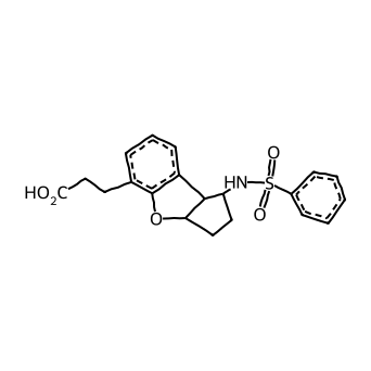 O=C(O)CCc1cccc2c1OC1CCC(NS(=O)(=O)c3ccccc3)C21